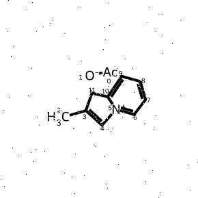 CC(=O)[O-].CC1=C[n+]2ccccc2C1